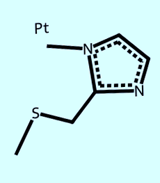 CSCc1nccn1C.[Pt]